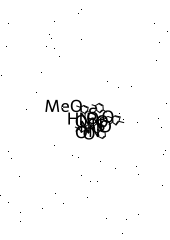 COc1ccc(Sc2cc(C)ccc2C)c(NC(=O)C(C2=Nc3ccccc3S(=O)(=O)N2CCCOc2ccc(C)cc2C)N2C(=O)OC(C)(C)C2=O)c1